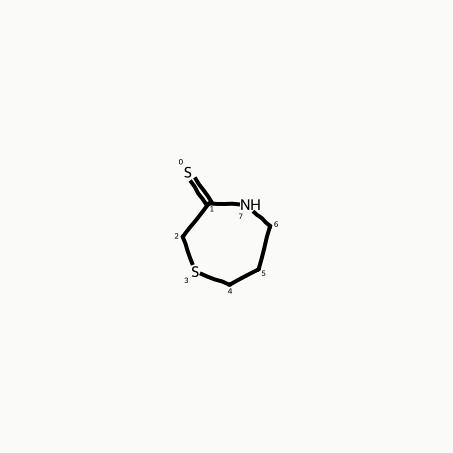 S=C1CSCCCN1